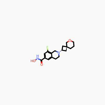 O=C(NO)c1cc(F)c2c(c1)CCN([C@H]1C[C@@]3(CCCOC3)C1)C2